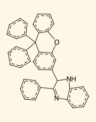 c1ccc(C2=Nc3ccccc3NC2c2ccc3c(c2)Oc2ccccc2C3(c2ccccc2)c2ccccc2)cc1